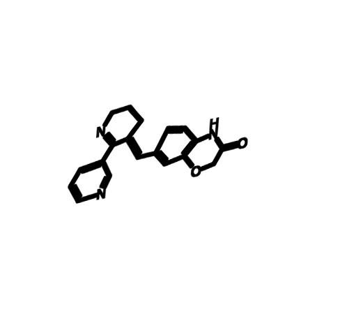 O=C1COc2cc(C=C3CCCN=C3c3cccnc3)ccc2N1